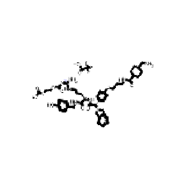 CCC(=O)NCCNC(=O)/N=C(/N)NCCC[C@@H](NC(=O)[C@H](c1ccc(OCCCNC(=O)C2CCC(CN)CC2)cc1)N1Cc2ccccc2C1)C(=O)NCc1ccc(O)cc1.O=C(O)C(F)(F)F